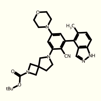 Cc1ccc2[nH]ncc2c1-c1cc(N2CCOCC2)cc(N2CCC3(CN(C(=O)OC(C)(C)C)C3)C2)c1C#N